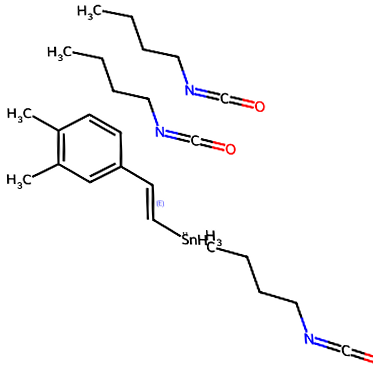 CCCCN=C=O.CCCCN=C=O.CCCCN=C=O.Cc1ccc(/C=[CH]/[SnH])cc1C